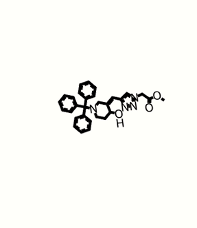 COC(=O)Cn1cc(C=C2CN(C(c3ccccc3)(c3ccccc3)c3ccccc3)CCC2O)nn1